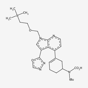 CC(C)(C)N(C(=O)O)C1CCC=C(c2ccnc3c2c(-c2nnco2)cn3COCC[Si](C)(C)C)C1